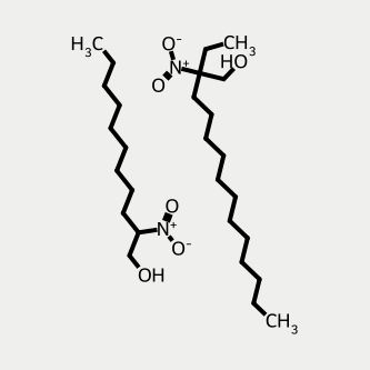 CCCCCCCCCC(CO)[N+](=O)[O-].CCCCCCCCCCCCC(CC)(CO)[N+](=O)[O-]